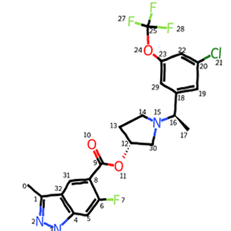 Cc1n[nH]c2cc(F)c(C(=O)O[C@@H]3CCN([C@H](C)c4cc(Cl)cc(OC(F)(F)F)c4)C3)cc12